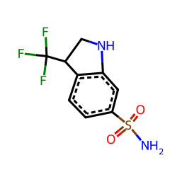 NS(=O)(=O)c1ccc2c(c1)NCC2C(F)(F)F